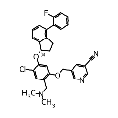 CN(C)Cc1cc(Cl)c(O[C@H]2CCc3c(-c4ccccc4F)cccc32)cc1OCc1cncc(C#N)c1